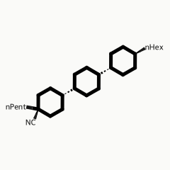 CCCCCC[C@H]1CC[C@H](C2CCC([C@H]3CC[C@@](C#N)(CCCCC)CC3)CC2)CC1